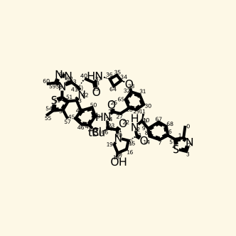 Cc1ncsc1-c1ccc([C@H](C)NC(=O)[C@@H]2C[C@@H](O)CN2C(=O)[C@@H](NC(=O)Cc2cccc(O[C@H]3C[C@@H](NC(=O)C[C@@H]4N=C(c5ccc(Cl)cc5)c5c(sc(C)c5C)-n5c(C)nnc54)C3)c2)C(C)(C)C)cc1